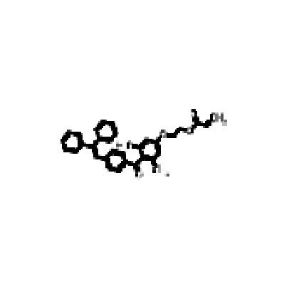 C=CC(=O)OCCOc1cc(C)c(C(=O)c2ccc(C=C(c3ccccc3)c3ccccc3)cc2)c(C)c1